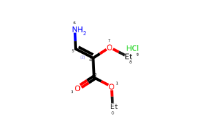 CCOC(=O)/C(=C/N)OCC.Cl